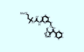 COCCC(C)(C)OC(=O)Nc1cccc(CO/N=C(/c2ccccc2)c2nnnn2C)n1